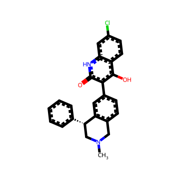 CN1Cc2ccc(-c3c(O)c4ccc(Cl)cc4[nH]c3=O)cc2[C@@H](c2ccccc2)C1